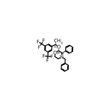 C[C@H](O[C@H]1OCCN(Cc2ccccc2)[C@@H]1c1ccccc1)c1cc(C(F)(F)F)cc(C(F)(F)F)c1